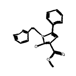 COC(=O)c1cc(-c2ccccc2)n(Cc2ccccc2)c1Cl